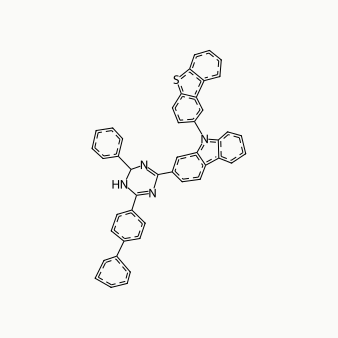 c1ccc(-c2ccc(C3=NC(c4ccc5c6ccccc6n(-c6ccc7sc8ccccc8c7c6)c5c4)=NC(c4ccccc4)N3)cc2)cc1